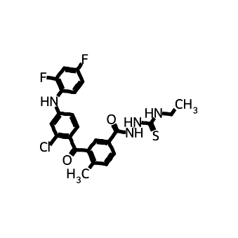 CCNC(=S)NNC(=O)c1ccc(C)c(C(=O)c2ccc(Nc3ccc(F)cc3F)cc2Cl)c1